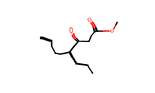 CCCC(CCC)C(=O)CC(=O)OC